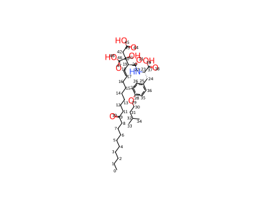 CCCCCCCCCC(=O)CCCCCC/C=C/[C@H](C(=O)N[C@@H](Cc1ccc(OCCC(C)C)cc1)C(=O)O)[C@@](O)(CC(=O)O)C(=O)O